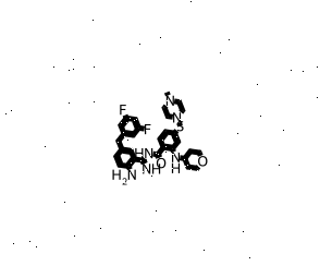 CN1CCN(Sc2ccc(C(=O)NC(=N)c3cc(Cc4cc(F)cc(F)c4)ccc3N)c(NC3CCOCC3)c2)CC1